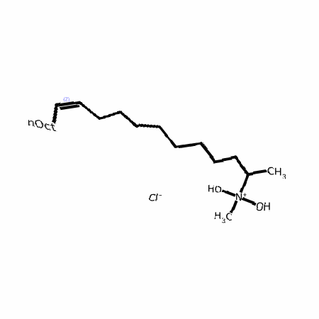 CCCCCCCC/C=C\CCCCCCCCC(C)[N+](C)(O)O.[Cl-]